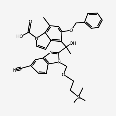 Cc1cc(OCc2ccccc2)c(C(C)(O)c2nc3cc(C#N)ccc3n2COCC[Si](C)(C)C)c2ccn(C(=O)O)c12